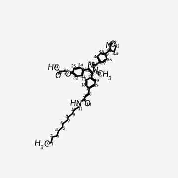 CCCCCCCCCCCCNC(=O)C=Cc1ccc(-c2c(-c3ccc(OCC(=O)O)cc3)nc(-c3ccc(C4=NOCC4)cc3)n2C)cc1